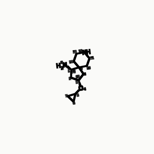 N[C@@H]1C[C@H](OC2CC2)CC12CCNCC2